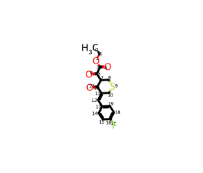 CCOC(=O)C(=O)C1CSC/C(=C\c2ccc(F)cc2)C1=O